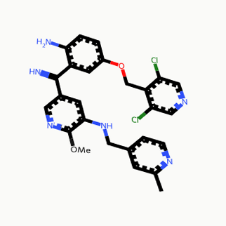 COc1ncc(C(=N)c2cc(OCc3c(Cl)cncc3Cl)ccc2N)cc1NCc1ccnc(C)c1